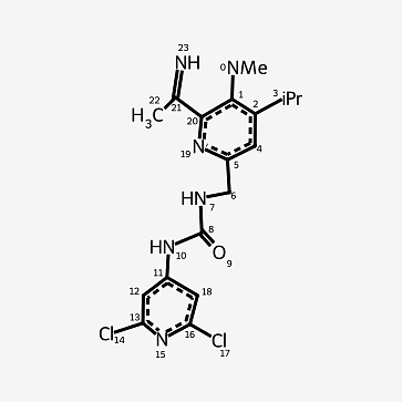 CNc1c(C(C)C)cc(CNC(=O)Nc2cc(Cl)nc(Cl)c2)nc1C(C)=N